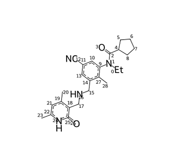 CCN(C(=O)C1CCCC1)c1cc(C#N)cc(CNCc2c(C)cc(C)[nH]c2=O)c1C